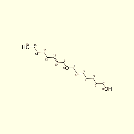 OCCCCC=CCOCC=CCCCCO